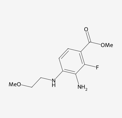 COCCNc1ccc(C(=O)OC)c(F)c1N